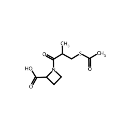 CC(=O)SCC(C)C(=O)N1CCC1C(=O)O